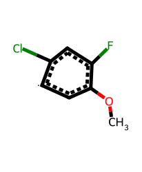 COc1c[c]c(Cl)cc1F